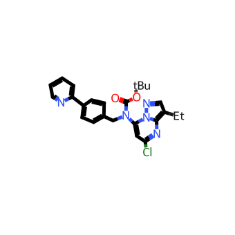 CCc1cnn2c(N(Cc3ccc(-c4ccccn4)cc3)C(=O)OC(C)(C)C)cc(Cl)nc12